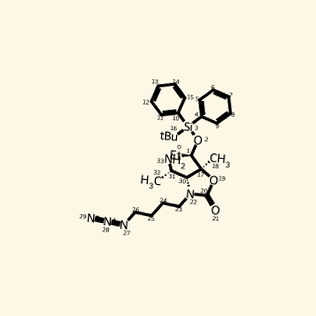 CC[C@@H](O[Si](c1ccccc1)(c1ccccc1)C(C)(C)C)[C@@]1(C)OC(=O)N(CCCCN=[N+]=[N-])[C@@H]1[C@H](C)N